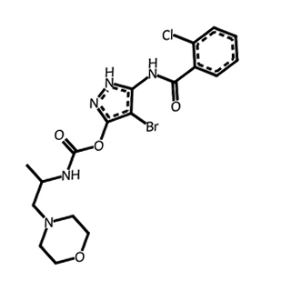 CC(CN1CCOCC1)NC(=O)Oc1n[nH]c(NC(=O)c2ccccc2Cl)c1Br